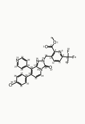 COC(=O)c1nc(C(F)(F)F)ccc1Cn1nc2c(-c3ccncc3)c(-c3ccc(Cl)cc3)ccn2c1=O